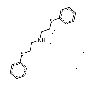 c1ccc(SCCNCCSc2ccccc2)cc1